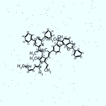 C=Cc1c(/C=C(\C)c2ccc3c(c2)C(C)(C)c2ccc4nc(-c5ccccc5)oc4c2-3)c(/C=C(\C)c2nc(-c3ccccc3)nc(-c3ccccc3)n2)c(C)n1/C(C)=C/C=C\BC